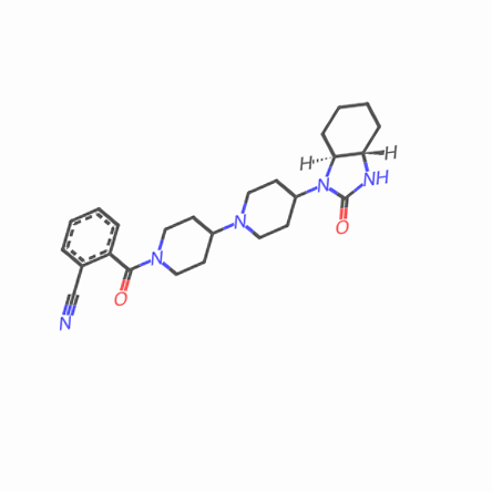 N#Cc1ccccc1C(=O)N1CCC(N2CCC(N3C(=O)N[C@H]4CCCC[C@@H]43)CC2)CC1